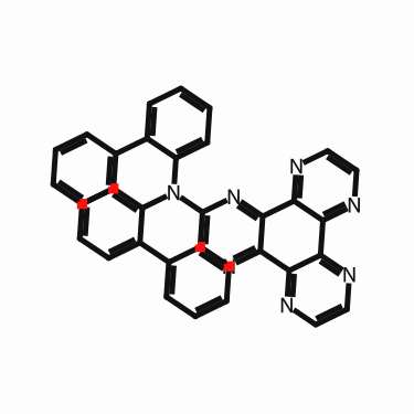 c1ccc(-c2ccccc2N(c2cnc3c4nccnc4c4nccnc4c3n2)c2ccccc2-c2ccccc2)cc1